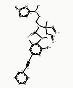 CN(CCN(C(=O)N(C)c1c(F)cc(C#Cc2ccccc2)cc1F)C(C)(C=O)CC=O)c1ccn(C)n1